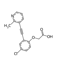 Cc1ncccc1C#Cc1cc(Cl)ccc1OCC(=O)O